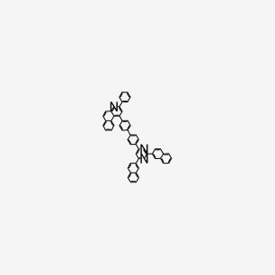 c1ccc(-c2cc(-c3ccc(-c4ccc(-c5cc(-c6ccc7ccccc7c6)nc(-c6ccc7ccccc7c6)n5)cc4)cc3)c3c(ccc4ccccc43)n2)cc1